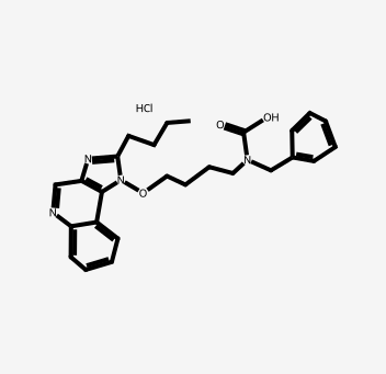 CCCCc1nc2cnc3ccccc3c2n1OCCCCN(Cc1ccccc1)C(=O)O.Cl